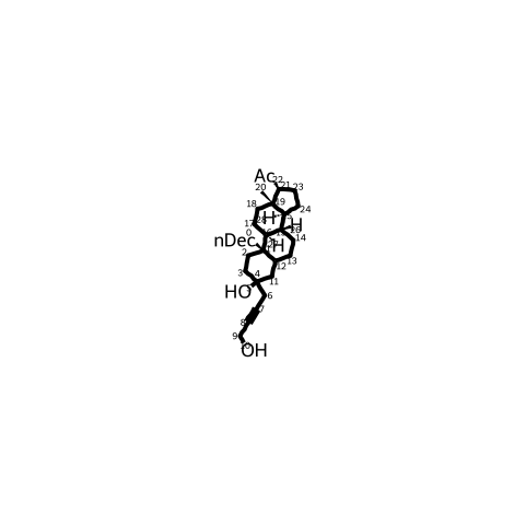 CCCCCCCCCC[C@]12CCC(O)(CC#CCO)CC1CC[C@@H]1[C@@H]2CC[C@]2(C)[C@@H](C(C)=O)CC[C@@H]12